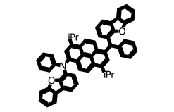 CC(C)c1cc(C(c2ccccc2)c2cccc3c2oc2ccccc23)c2ccc3c(C(C)C)cc(N(c4ccccc4)c4cccc5c4oc4ccccc45)c4ccc1c2c34